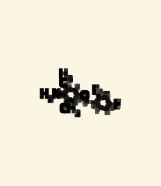 Cc1cc(OCc2ccc(F)cc2F)cc(C)c1N